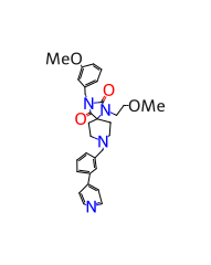 COCCN1C(=O)N(Cc2cccc(OC)c2)C(=O)C12CCN(Cc1cccc(-c3ccncc3)c1)CC2